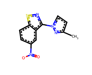 Cc1ccn(-c2nsc3ccc([N+](=O)[O-])cc23)n1